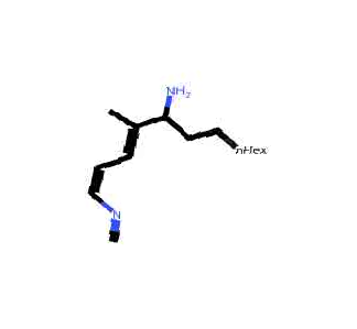 C=N/C=C\C=C(/C)C(N)CCCCCCCC